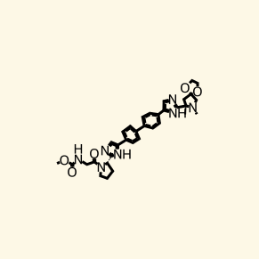 COC(=O)NCC(=O)N1CCC[C@H]1c1ncc(-c2ccc(-c3ccc(-c4cnc([C@]5(C)CC6(CN5C)OCCO6)[nH]4)cc3)cc2)[nH]1